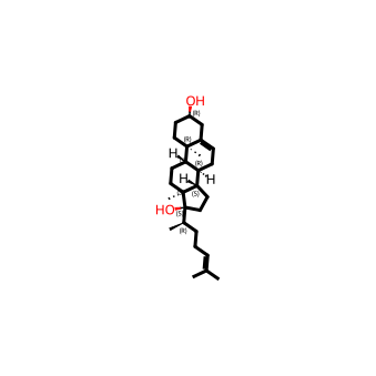 CC(C)=CCC[C@@H](C)[C@@]1(O)CC[C@H]2[C@@H]3CC=C4C[C@H](O)CC[C@]4(C)[C@H]3CC[C@@]21C